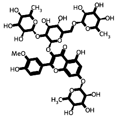 COc1cc(-c2oc3cc(O[C@@H]4OC(C)[C@H](O)C(O)[C@@H]4O)cc(O)c3c(=O)c2O[C@@H]2OC(CO[C@@H]3OC(C)[C@H](O)C(O)[C@@H]3O)[C@@H](O)[C@H](O)C2O[C@@H]2OC(C)[C@H](O)C(O)[C@@H]2O)ccc1O